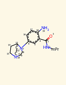 CCCNC(=O)c1cc(N2CCN3CCC2CC3)ccc1N